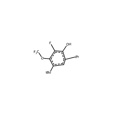 CC(C)c1cc(C(C)(C)C)c(OC(F)(F)F)c(F)c1O